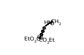 C=CC(=O)NCCCCCC[C@H]1CC[C@H](c2ccc(-c3ccc(C4O[C@@H](C(=O)OCC)[C@H](C(=O)OCC)O4)cc3)cc2)CC1